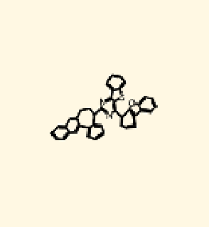 C1=Cc2c(oc3ccccc23)C(c2nc(C3CCc4cc5ccccc5cc4-c4ccccc43)nc3c2sc2ccccc23)C1